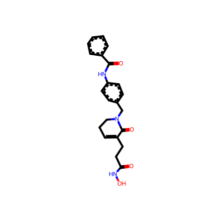 O=C(CCC1=CCCN(Cc2ccc(NC(=O)c3ccccc3)cc2)C1=O)NO